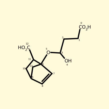 O=C(O)CCC(O)OC12C=CC(CC1C(=O)O)C2